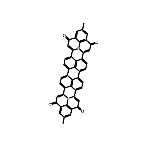 Cc1cc2c(=O)cc3c4ccc5c6ccc7c8c(ccc(c9ccc(c4c59)c4cc(=O)c(c1)c2n34)c68)c1cc(=O)c2cc(C)cc3c(=O)cc7n1c32